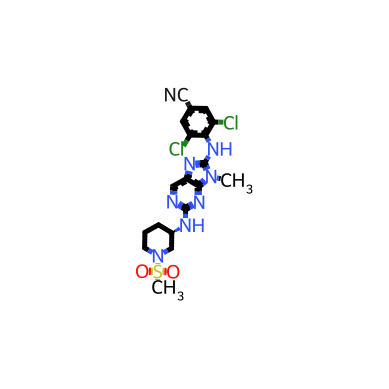 Cn1c(Nc2c(Cl)cc(C#N)cc2Cl)nc2cnc(N[C@@H]3CCCN(S(C)(=O)=O)C3)nc21